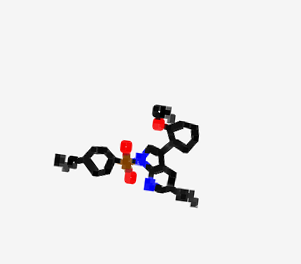 Bc1cnc2c(c1)c(-c1ccccc1OC)cn2S(=O)(=O)c1ccc(C)cc1